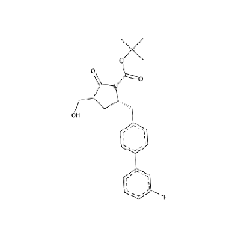 CC(C)(C)OC(=O)N1C(=O)C(CO)C[C@H]1Cc1ccc(-c2cccc(F)c2)cc1